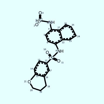 O=[SH](=O)Nc1ccc(NS(=O)(=O)c2ccc3c(c2)CCCO3)c2ccccc12